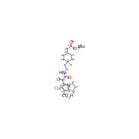 CC1(CCNC(=O)C(=O)c2c(Cl)c(C(=O)O)c3n2CCC3)CCC(CC(=O)OC(C)(C)C)CC1